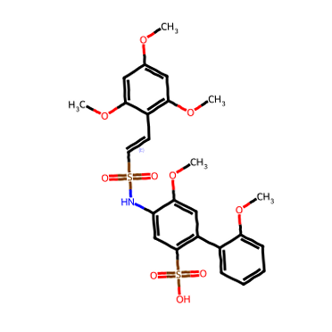 COc1cc(OC)c(/C=C/S(=O)(=O)Nc2cc(S(=O)(=O)O)c(-c3ccccc3OC)cc2OC)c(OC)c1